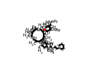 CCCNC[C@]1(O)[C@H](C)O[C@@H](O[C@H]2[C@H](C)[C@@H](O[C@@H]3O[C@H](C)C[C@H](N(C)C(=O)NCCN4CCCCC4)[C@H]3O)[C@](C)(O)C[C@@H](C)CN[C@H](C)[C@@H](O)[C@](C)(O)[C@@H](CC)OC(=O)[C@@H]2C)C[C@@]1(C)OC